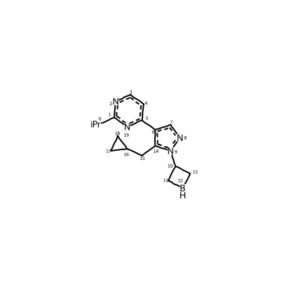 CC(C)c1nccc(-c2cnn(C3CBC3)c2CC2CC2)n1